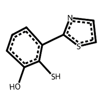 Oc1cccc(-c2nccs2)c1S